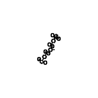 Cc1cc(OC(=O)c2ccc(C3C(=O)C=CC3=O)cc2)ccc1OC(=O)c1ccc(N2C(=O)C=CC2=O)cc1